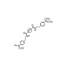 CC(=O)N(C=O)c1ccc(CCNC(=O)C23CCC(C(=O)NCCc4ccc(N(C=O)C=O)cc4)(CC2)CC3)cc1